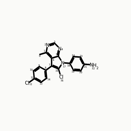 Cc1ncnc2c1c(-c1ccc(Cl)cc1)c(Cl)n2-c1ccc(N)cc1